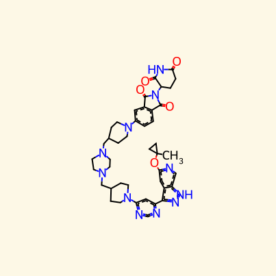 CC1(Oc2cc3c(-c4cc(N5CCC(CN6CCN(CC7CCN(c8ccc9c(c8)C(=O)N(C8CCC(=O)NC8=O)C9=O)CC7)CC6)CC5)ncn4)n[nH]c3cn2)CC1